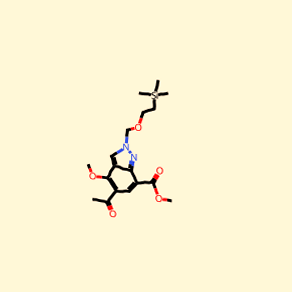 COC(=O)c1cc(C(C)=O)c(OC)c2cn(COCC[Si](C)(C)C)nc12